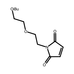 CC(C)COCCOCCN1C(=O)C=CC1=O